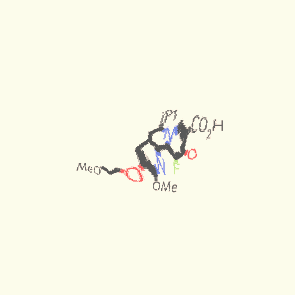 COCCCOc1cc2c(nc1OC)-c1c(F)c(=O)c(C(=O)O)cn1C(C(C)C)C2